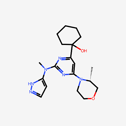 C[C@@H]1COCCN1c1cc(C2(O)CCCCC2)nc(N(C)c2ccn[nH]2)n1